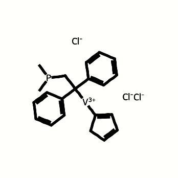 CP(C)C[C]([V+3][C]1=CC=CC1)(c1ccccc1)c1ccccc1.[Cl-].[Cl-].[Cl-]